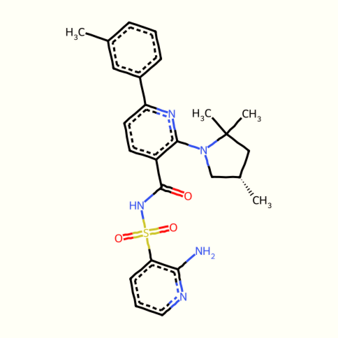 Cc1cccc(-c2ccc(C(=O)NS(=O)(=O)c3cccnc3N)c(N3C[C@@H](C)CC3(C)C)n2)c1